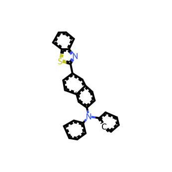 c1ccc(N(c2ccccc2)c2ccc3cc(-c4nc5ccccc5s4)ccc3c2)cc1